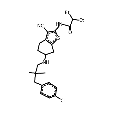 CCC(CC)C(=O)Nc1sc2c(c1C#N)CCC(NCC(C)(C)Cc1ccc(Cl)cc1)C2